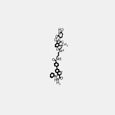 CN(CC(=O)NCCCNC(=O)c1ccc(-c2ccc3c(Nc4ccccc4)c(C(N)=O)cnc3c2)cc1)c1cccc2c1C(=O)N(C1CCC(=O)NC1=O)C2=O